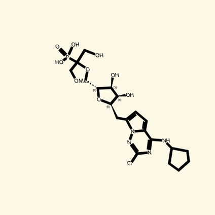 COCC(CO)(OC[C@H]1O[C@H](Cc2ccc3c(NC4CCCC4)nc(Cl)nn23)[C@H](O)[C@@H]1O)P(=O)(O)O